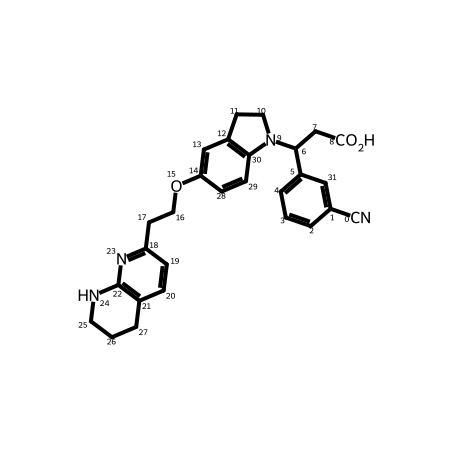 N#Cc1cccc(C(CC(=O)O)N2CCc3cc(OCCc4ccc5c(n4)NCCC5)ccc32)c1